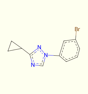 Brc1cccc(-n2cnc(C3CC3)n2)c1